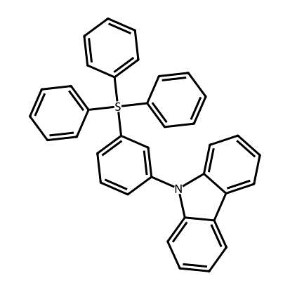 c1ccc(S(c2ccccc2)(c2ccccc2)c2cccc(-n3c4ccccc4c4ccccc43)c2)cc1